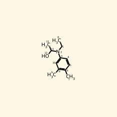 CCN(c1ccc(C)c(C)c1)C(C)O